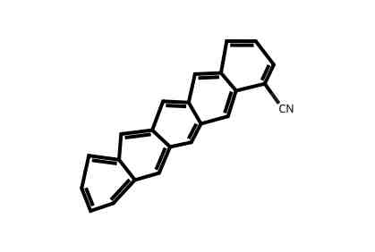 N#Cc1cccc2cc3cc4cc5ccccc5cc4cc3cc12